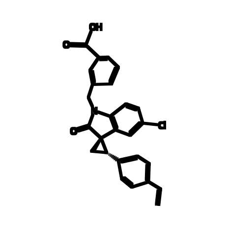 C=Cc1ccc([C@@H]2C[C@]23C(=O)N(Cc2cccc(C(=O)O)c2)c2ccc(Cl)cc23)cc1